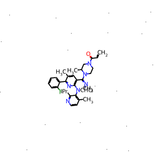 C=CC(=O)N1CCN(/C(=N/C)c2cc(C)c(-c3ccccc3F)nc2N(C=O)c2c(C)ccnc2C(C)C)C(C)C1